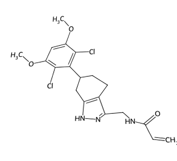 C=CC(=O)NCc1n[nH]c2c1CCC(c1c(Cl)c(OC)cc(OC)c1Cl)C2